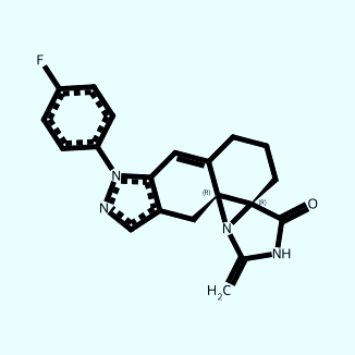 C=C1NC(=O)[C@@]23CCCC4=Cc5c(cnn5-c5ccc(F)cc5)C[C@@]42N13